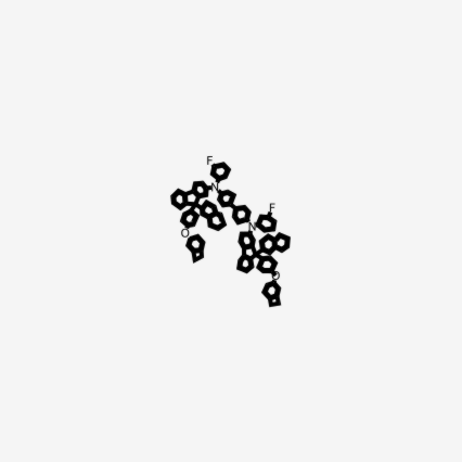 Fc1cccc(N(c2ccc(-c3ccc(N(c4cccc(F)c4)c4ccc5c(c4)C(c4ccc(Oc6ccc7c(c6)CC7)cc4)(c4ccc6ccccc6c4)c4ccccc4-5)cc3)cc2)c2ccc3c(c2)C(c2ccc(Oc4ccc5c(c4)CC5)cc2)(c2ccc4ccccc4c2)c2ccccc2-3)c1